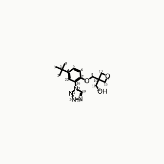 CC(C)(C)c1ccc(OCC2(CO)COC2)c(-n2cnnn2)c1